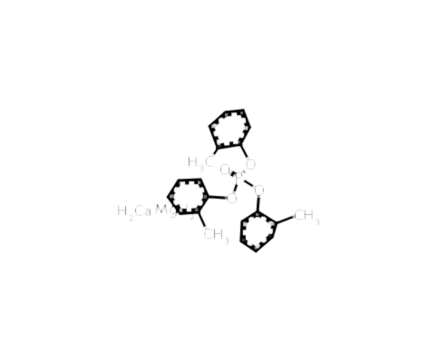 Cc1ccccc1OP(=O)(Oc1ccccc1C)Oc1ccccc1C.[CaH2].[MgH2]